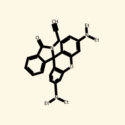 C#CCN1C(=O)c2ccccc2C12c1ccc(N(CC)CC)cc1Oc1cc(N(CC)CC)ccc12